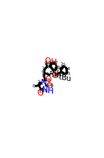 Cc1cn([C@H]2CC(CCCO)[C@@H](CO[Si](c3ccccc3)(c3ccccc3)C(C)(C)C)O2)c(=O)[nH]c1=O